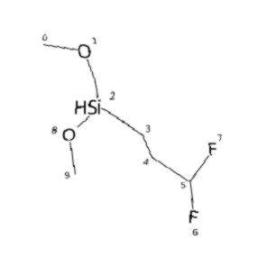 CO[SiH](CCC(F)F)OC